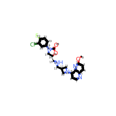 COc1ccc2nccc(N3CC(CNC[C@@H]4CN(c5ccc(F)c(Cl)c5)C(=O)O4)C3)c2n1